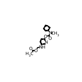 CC(=O)OCNc1ccc(OC(=O)N(C)c2ccccc2)nc1